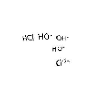 Cl.[Cr+3].[OH-].[OH-].[OH-]